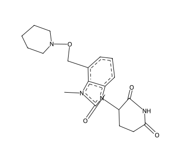 Cn1c(=O)n(C2CCC(=O)NC2=O)c2cccc(CON3CCCCC3)c21